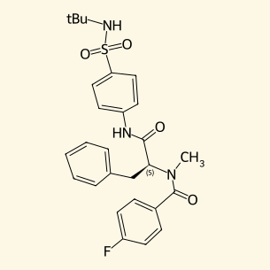 CN(C(=O)c1ccc(F)cc1)[C@@H](Cc1ccccc1)C(=O)Nc1ccc(S(=O)(=O)NC(C)(C)C)cc1